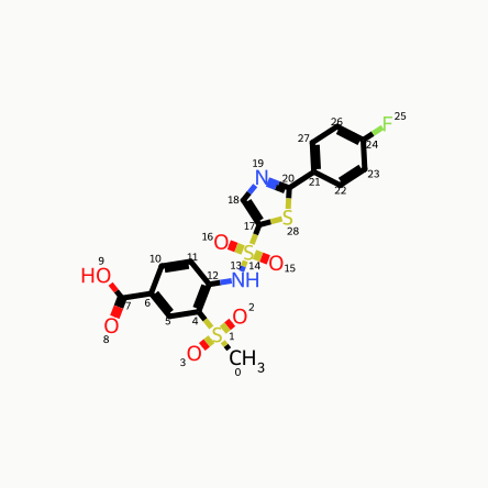 CS(=O)(=O)c1cc(C(=O)O)ccc1NS(=O)(=O)c1cnc(-c2ccc(F)cc2)s1